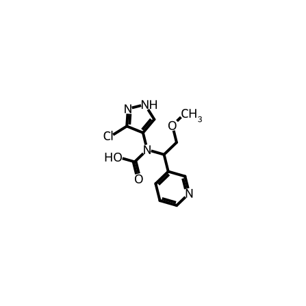 COCC(c1cccnc1)N(C(=O)O)c1c[nH]nc1Cl